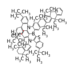 Cc1cc2c3c(c1)N(c1ccc4c(c1)C(C)(C)CCC4(C)C)c1c(sc4ccc(C(C)(C)C)cc14)B3c1cc3c(cc1N2c1ccc(C(C)(C)C)cc1-c1ccc(C(C)(C)C)cc1)C(C)(C)c1cc2c(cc1C3(C)C)C(C)(C)c1ccccc1C2(C)C